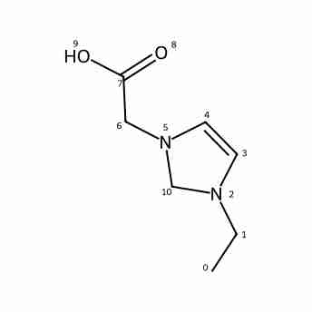 CCN1C=CN(CC(=O)O)C1